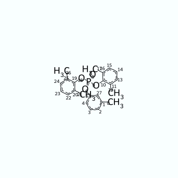 Cc1cccc(OP(=O)(Oc2c(C)cccc2C)Oc2c(C)cccc2C)c1